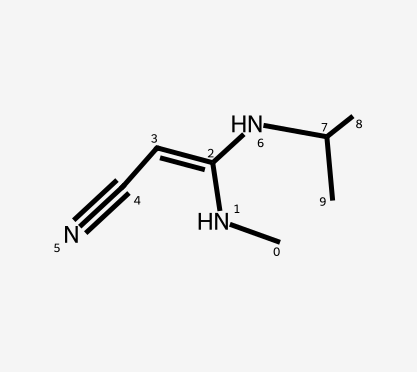 CN/C(=C\C#N)NC(C)C